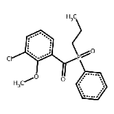 CCCP(=O)(C(=O)c1cccc(Cl)c1OC)c1ccccc1